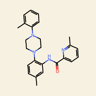 Cc1ccc(N2CCN(c3ccccc3C)CC2)c(NC(=O)c2cccc(C)n2)c1